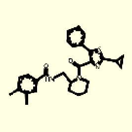 Cc1ccc(C(=O)NCC2CCCCN2C(=O)c2nc(C3CC3)sc2-c2ccccc2)cc1C